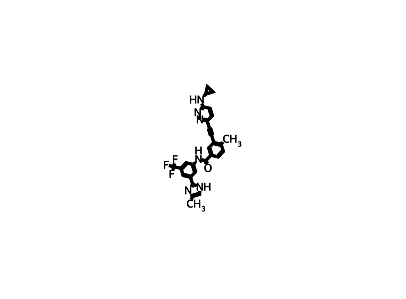 Cc1c[nH]c(-c2cc(NC(=O)c3ccc(C)c(C#Cc4ccc(NC5CC5)nn4)c3)cc(C(F)(F)F)c2)n1